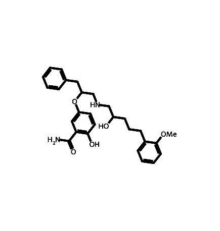 COc1ccccc1CCCC(O)CNCC(Cc1ccccc1)Oc1ccc(O)c(C(N)=O)c1